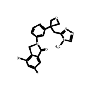 Cn1cnnc1CC1(c2cccc(N3Cc4c(Br)cc(I)cc4C3=O)c2)COC1